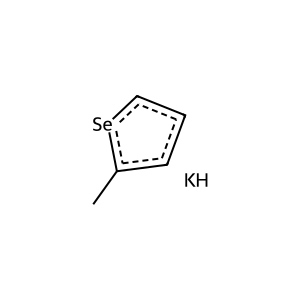 Cc1ccc[se]1.[KH]